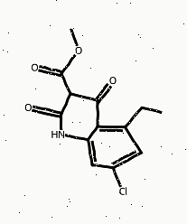 CCc1cc(Cl)cc2c1C(=O)C(C(=O)OC)C(=O)N2